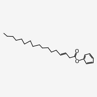 CCCCCCCCCCCCC/C=C/CC(=O)Oc1ccccc1